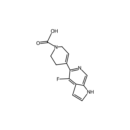 O=C(O)N1CC=C(c2ncc3[nH]ccc3c2F)CC1